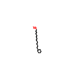 OCCCCCCCCCCCCC1CCCCC1